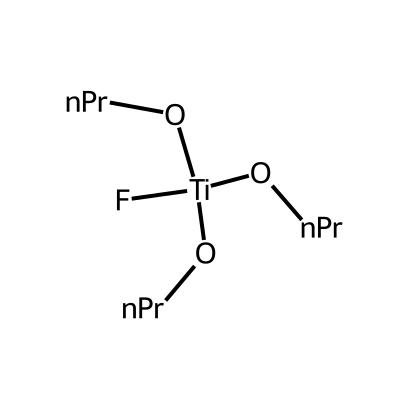 CCC[O][Ti]([F])([O]CCC)[O]CCC